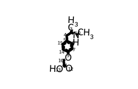 CNC(C)Cc1ccc(OCC(=O)O)cc1